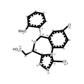 COc1ccccc1[C@H]1O[C@H](CC(=O)O)c2nnc(C(F)(F)F)n2-c2ccc(Cl)cc21